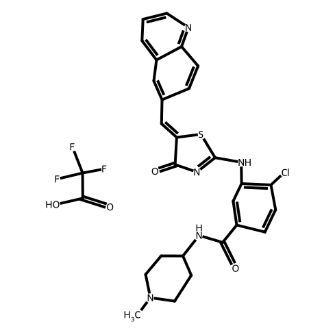 CN1CCC(NC(=O)c2ccc(Cl)c(NC3=NC(=O)/C(=C/c4ccc5ncccc5c4)S3)c2)CC1.O=C(O)C(F)(F)F